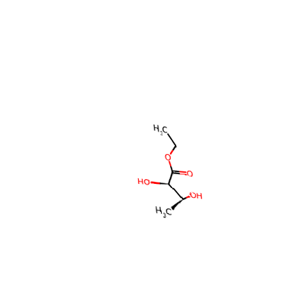 CCOC(=O)[C@H](O)[C@H](C)O